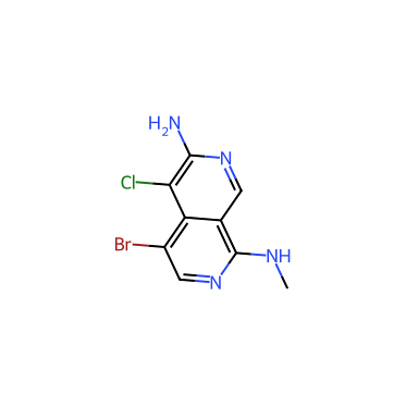 CNc1ncc(Br)c2c(Cl)c(N)ncc12